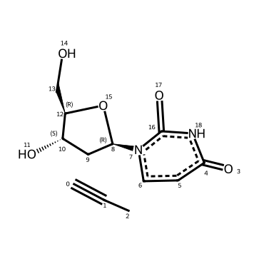 C#CC.O=c1ccn([C@H]2C[C@H](O)[C@@H](CO)O2)c(=O)[nH]1